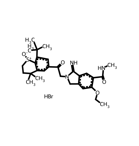 Br.CCOc1cc2c(cc1C(=O)NC)C(=N)N(CC(=O)c1cc(C(C)(C)C)c3c(c1)C(C)(C)CC[S+]3[O-])C2